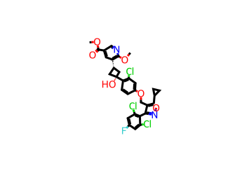 COC(=O)c1cnc(OC)c([C@H]2C[C@](O)(c3ccc(OCc4c(-c5c(Cl)cc(F)cc5Cl)noc4C4CC4)cc3Cl)C2)c1